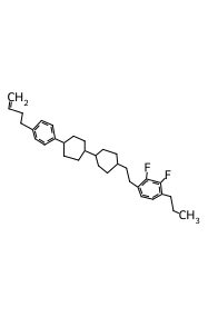 C=CCCc1ccc(C2CCC(C3CCC(CCc4ccc(CCC)c(F)c4F)CC3)CC2)cc1